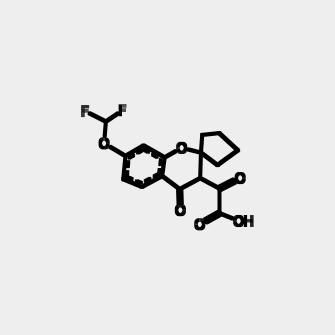 O=C(O)C(=O)C1C(=O)c2ccc(OC(F)F)cc2OC12CCCC2